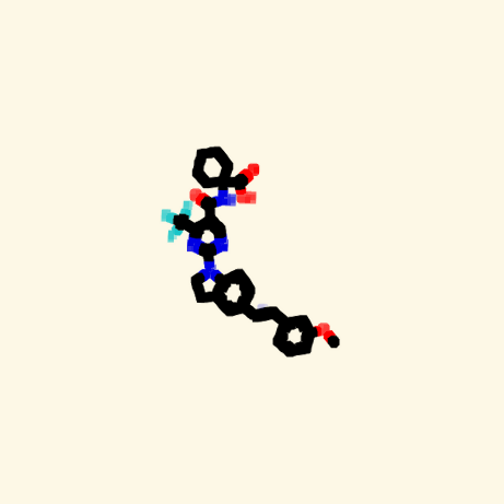 COc1cccc(/C=C/c2ccc3c(c2)CCN3c2ncc(C(=O)NC3(C(=O)O)CCCCC3)c(C(F)(F)F)n2)c1